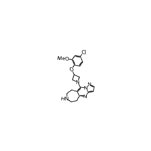 COc1cc(Cl)ccc1OC1CN(c2c3c(nc4ccnn24)CCNCC3)C1